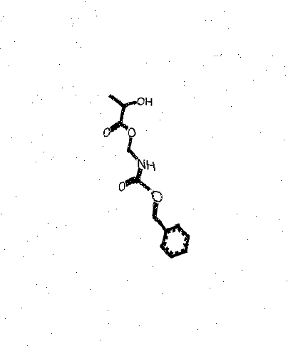 CC(O)C(=O)OCNC(=O)OCc1ccccc1